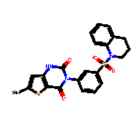 CC(C)(C)c1cc2[nH]c(=O)n(-c3cccc(S(=O)(=O)N4CCCc5ccccc54)c3)c(=O)c2s1